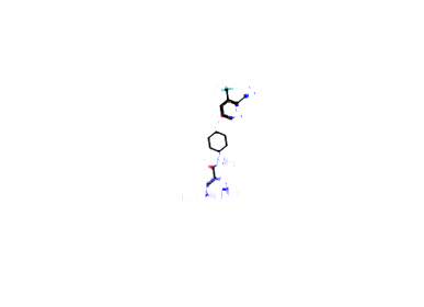 CN/C=C(\N=N)C(=O)N[C@H]1CC[C@H](Oc2cnc(C#N)c(C(F)(F)F)c2)CC1